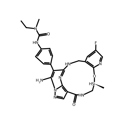 CCN(C)C(=O)Nc1ccc(-c2c3nc4c(cnn4c2N)C(=O)NC[Si@H](C)Oc2ncc(F)cc2CN3)cc1